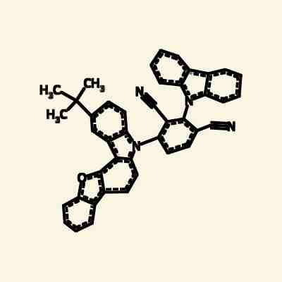 CC(C)(C)c1ccc2c(c1)c1c3oc4ccccc4c3ccc1n2-c1ccc(C#N)c(-n2c3ccccc3c3ccccc32)c1C#N